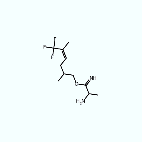 C/C(=C/CC(C)COC(=N)C(C)N)C(F)(F)F